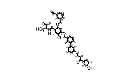 Cc1c(COc2cc(OCc3cncc(C#N)c3)c(CN[C@H](CO)C(=O)O)cc2Cl)cccc1-c1cccc(OCCC(=O)N2CC[C@@H](O)C2)c1